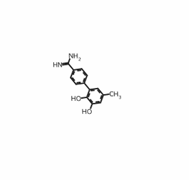 Cc1cc(O)c(O)c(-c2ccc(C(=N)N)cc2)c1